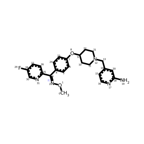 CO/N=C(\c1ccc(OC2CCN(Cc3ccnc(N)c3)CC2)cc1)c1ccc(F)cn1